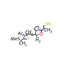 CS[C@@H](C)C1CSC(C)(CCC(C)C2CCCN2C(=O)C(C)CS)N1C(C)=O